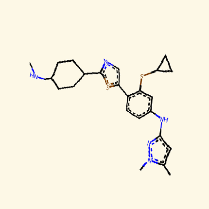 CNC1CCC(c2ncc(-c3ccc(Nc4cc(C)n(C)n4)cc3SC3CC3)s2)CC1